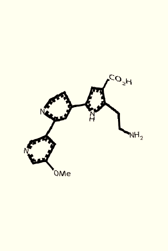 COc1cncc(-c2cc(-c3cc(C(=O)O)c(CCN)[nH]3)ccn2)c1